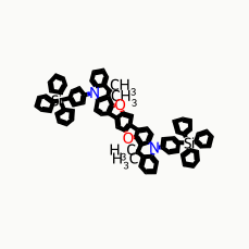 CC1(C)c2ccccc2N(c2ccc([Si](c3ccccc3)(c3ccccc3)c3ccccc3)cc2)c2ccc3c(oc4cc5c(cc43)oc3c4c(ccc35)N(c3ccc([Si](c5ccccc5)(c5ccccc5)c5ccccc5)cc3)c3ccccc3C4(C)C)c21